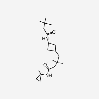 CC(C)(C)CC(=O)NC1CC(CC(C)(C)CC(=O)NC2(C)CC2)C1